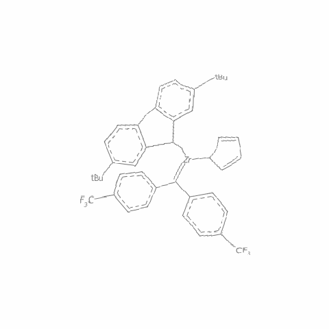 CC(C)(C)c1ccc2c(c1)[CH]([Zr](=[C](c1ccc(C(F)(F)F)cc1)c1ccc(C(F)(F)F)cc1)[CH]1C=CC=C1)c1cc(C(C)(C)C)ccc1-2